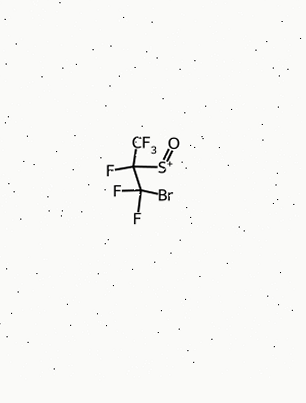 O=[S+]C(F)(C(F)(F)F)C(F)(F)Br